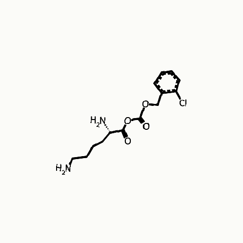 NCCCC[C@H](N)C(=O)OC(=O)OCc1ccccc1Cl